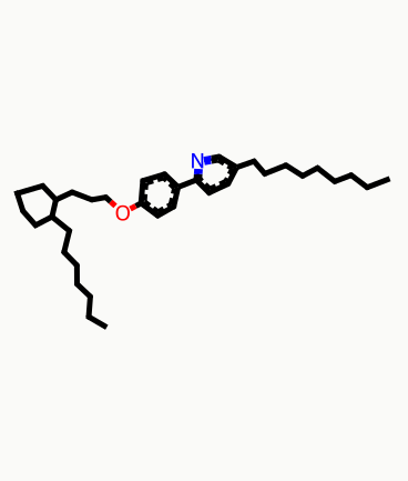 CCCCCCCCCc1ccc(-c2ccc(OCCCC3CCCCC3CCCCCCC)cc2)nc1